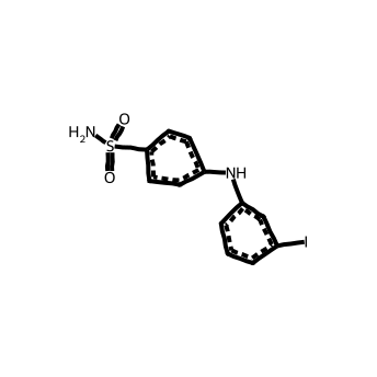 NS(=O)(=O)c1ccc(Nc2cccc(I)c2)cc1